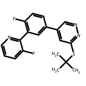 CC(C)(C)Sc1cc(-c2ccc(F)c(-c3ncccc3F)c2)cnn1